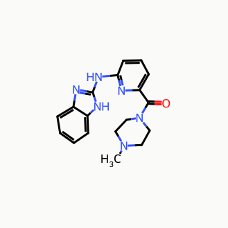 CN1CCN(C(=O)c2cccc(Nc3nc4ccccc4[nH]3)n2)CC1